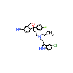 C=CCN(CCCC1(c2ccc(F)cc2)OCc2cc(C#N)ccc21)CCc1c[nH]c2ccc(Cl)cc12